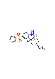 CN1CC[C@@H]2Nc3ccc(S(=O)(=O)c4ccccc4)cc3[C@@H]2CC1